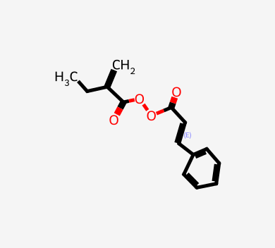 C=C(CC)C(=O)OOC(=O)/C=C/c1ccccc1